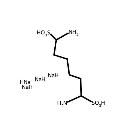 NC(CCCCC(N)S(=O)(=O)O)S(=O)(=O)O.[NaH].[NaH].[NaH].[NaH]